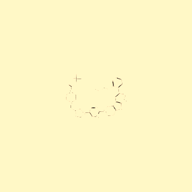 COCOc1ccccc1-c1cc2c3c([nH]c2nn1)CCN(c1ncc(N2CCC(CN4CCN(C(=O)OC(C)(C)C)CC4)C2)cn1)[C@@H]3C